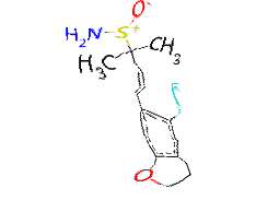 CC(C)(C=Cc1cc2c(cc1F)CCO2)[S+](N)[O-]